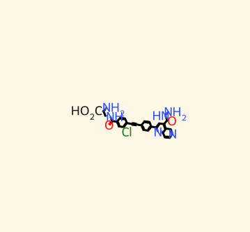 NNC(=O)c1cc(-c2ccc(C#Cc3ccc(C(=O)NCC(N)C(=O)O)cc3Cl)cc2)nc2ccncc12